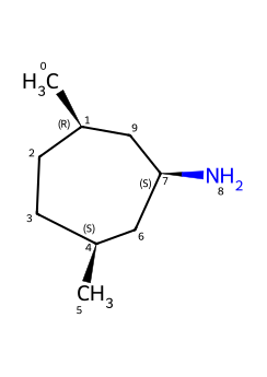 C[C@@H]1CC[C@H](C)C[C@H](N)C1